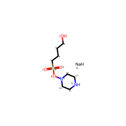 O=S(=O)(CCCCO)ON1CCNCC1.[NaH]